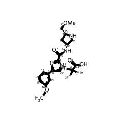 COC[C@@H]1C[C@@H](NC(=O)c2ncc(-c3cccc(OC(F)(F)F)c3)o2)CN1.O=C(O)C(F)(F)F